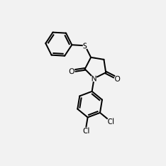 O=C1CC(Sc2ccccc2)C(=O)N1c1ccc(Cl)c(Cl)c1